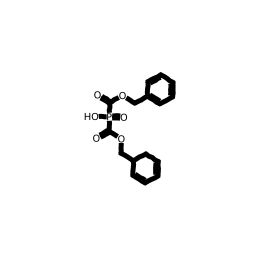 O=C(OCc1ccccc1)P(=O)(O)C(=O)OCC1C=CC=CC1